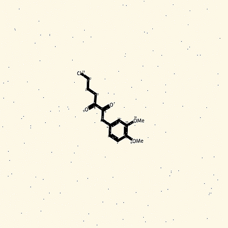 COc1ccc(CC(=O)C(=O)CCCCl)cc1OC